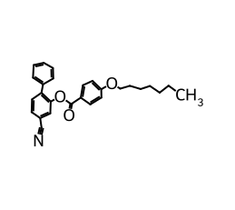 CCCCCCCOc1ccc(C(=O)Oc2cc(C#N)ccc2-c2ccccc2)cc1